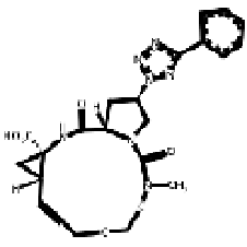 CN1CCCC/C=C\[C@@H]2C[C@@]2(C(=O)O)NC(=O)[C@@H]2C[C@@H](n3nnc(-c4ccccc4)n3)CN2C1=O